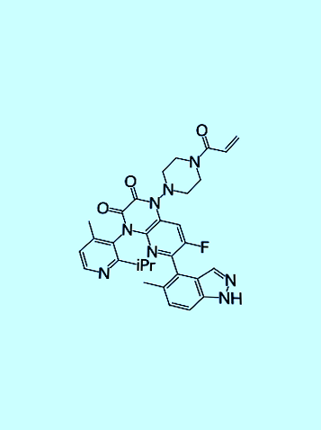 C=CC(=O)N1CCN(n2c(=O)c(=O)n(-c3c(C)ccnc3C(C)C)c3nc(-c4c(C)ccc5[nH]ncc45)c(F)cc32)CC1